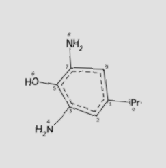 C[C](C)c1cc(N)c(O)c(N)c1